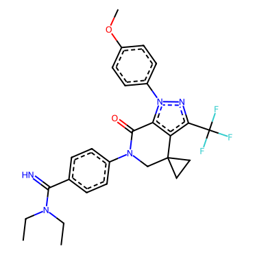 CCN(CC)C(=N)c1ccc(N2CC3(CC3)c3c(C(F)(F)F)nn(-c4ccc(OC)cc4)c3C2=O)cc1